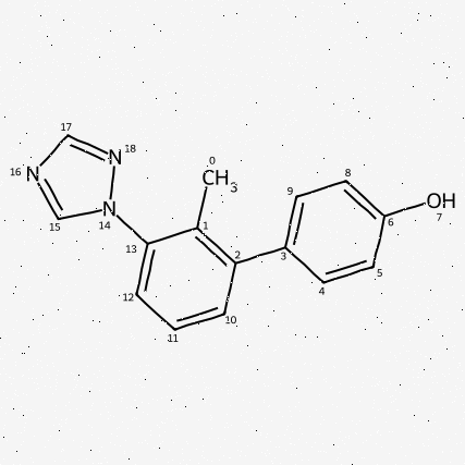 Cc1c(-c2ccc(O)cc2)cccc1-n1cncn1